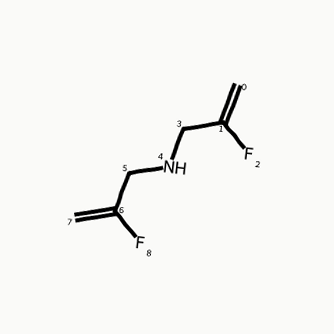 C=C(F)CNCC(=C)F